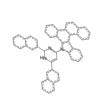 C1=C(c2ccc3ccccc3c2)NC(c2ccc3ccccc3c2)N=C1n1c2ccccc2c2c3c4ccccc4ccc3c3ccccc3c21